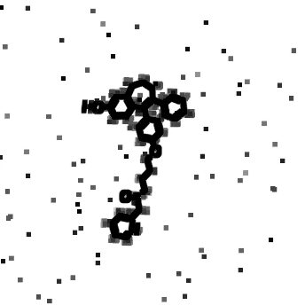 [O-][S+](CCCCOc1ccc(C2=C(c3ccccc3)CCCc3cc(O)ccc32)cc1)Cc1ccccn1